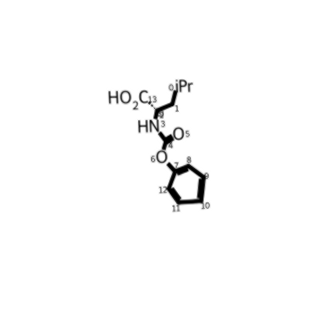 CC(C)C[C@H](NC(=O)Oc1ccccc1)C(=O)O